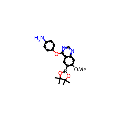 COc1cc2ncnc(Oc3ccc(N)cc3)c2cc1B1OC(C)(C)C(C)(C)O1